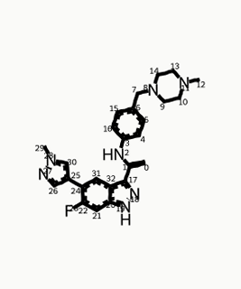 C=C(Nc1ccc(CN2CCN(C)CC2)cc1)c1n[nH]c2cc(F)c(-c3cnn(C)c3)cc12